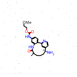 COCCOC(=O)Nc1ccc2c(c1)NC(=O)[C@H](C)CCC[C@H](N)c1ccnc-2c1